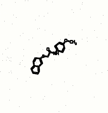 COc1ccc(NC(=O)CSc2ccc3ccccc3c2)cc1